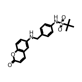 CC(C)(C)S(=O)(=O)Nc1ccc(CNc2ccc3oc(=O)ccc3c2)cc1